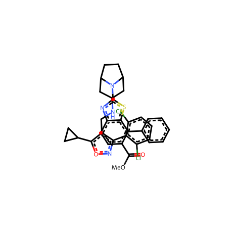 COC(=O)c1ccc2nc(N3C4CCC3CC(NCc3c(-c5c(Cl)cccc5Cl)noc3C3CC3)C4)sc2c1-c1ccccc1